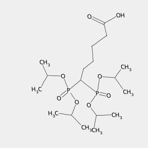 CC(C)OP(=O)(OC(C)C)C(CCCCC(=O)O)P(=O)(OC(C)C)OC(C)C